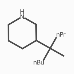 CCCCC(C)(CCC)C1CCCNC1